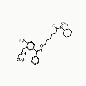 CN(C(=O)CCCCCO/N=C(/c1ccccc1)c1ccc(N)c(CNCC(=O)O)c1)C1CCCCC1